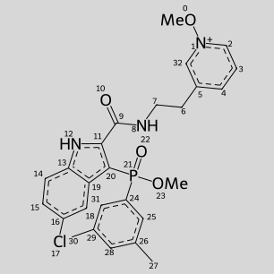 CO[n+]1cccc(CCNC(=O)c2[nH]c3ccc(Cl)cc3c2P(=O)(OC)c2cc(C)cc(C)c2)c1